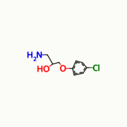 NCC(O)COc1ccc(Cl)cc1